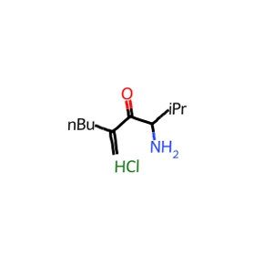 C=C(CCCC)C(=O)C(N)C(C)C.Cl